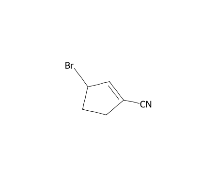 N#CC1=CC(Br)CC1